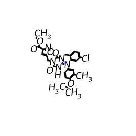 CCOC(=O)c1cc(Cn2c(=O)[nH]/c(=N\c3ccc(OC(C)C)c(C)c3)n(Cc3ccc(Cl)cc3)c2=O)on1